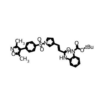 Cc1noc(C)c1-c1ccc(S(=O)(=O)n2ccc(C=CC(=O)Nc3ccccc3NC(=O)OC(C)(C)C)c2)cc1